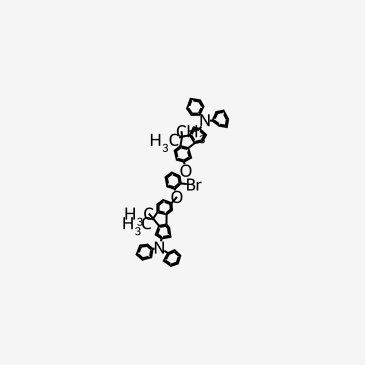 CC1(C)c2ccc(Oc3cccc(Oc4ccc5c(c4)-c4ccc(N(c6ccccc6)c6ccccc6)cc4C5(C)C)c3Br)cc2-c2ccc(N(c3ccccc3)c3ccccc3)cc21